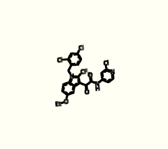 CCOc1ccc2c(c1)c(C(=O)C(=O)Nc1ccnc(Cl)c1)c(C(F)(F)F)n2Cc1ccc(Cl)cc1Cl